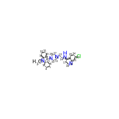 CN1c2ccccc2C(N2CCN(CCNc3ccnc4cc(Cl)ccc34)CC2)c2ccccc21